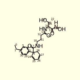 CCc1ccc(C2(C(=O)NCCCC(=O)N[C@H](C(=O)NO)[C@@H](C)O)C=CC=CC2)cc1